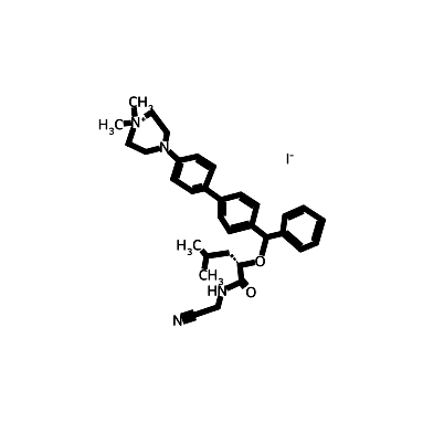 CC(C)C[C@H](OC(c1ccccc1)c1ccc(-c2ccc(N3CC[N+](C)(C)CC3)cc2)cc1)C(=O)NCC#N.[I-]